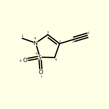 C#CC1=CN(C)S(=O)(=O)C1